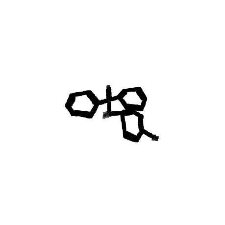 S=P(Nc1ccc(Br)cc1)(c1ccccc1)c1ccccc1